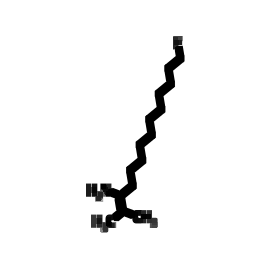 CC(C)=C(N)CCCCCCCCCCCF